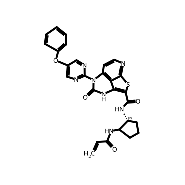 C=CC(=O)NC1CCC[C@H]1NC(=O)c1sc2nccc3c2c1NC(=O)N3c1ncc(Oc2ccccc2)cn1